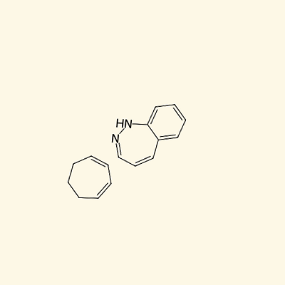 C1=CCCCC=C1.C1=Cc2ccccc2NN=C1